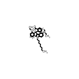 CCCCCCCCn1c(C)c(C2(c3ccccc3OCC)OC(=O)c3ccccc32)c2ccccc21.CCNCC